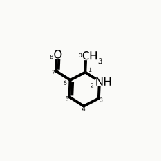 CC1NCCC=C1C=O